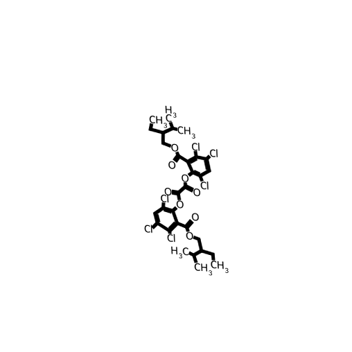 CCC(COC(=O)c1c(Cl)c(Cl)cc(Cl)c1OC(=O)C(=O)Oc1c(Cl)cc(Cl)c(Cl)c1C(=O)OCC(CC)C(C)C)C(C)C